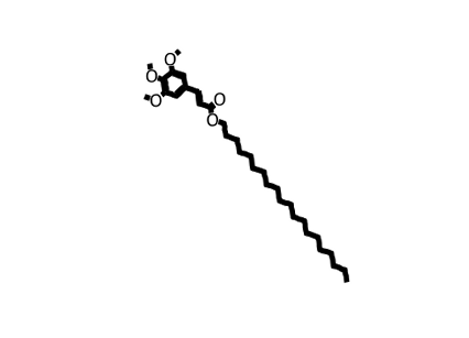 CCCCCCCCCCCCCCCCCCCCOC(=O)C=Cc1cc(OC)c(OC)c(OC)c1